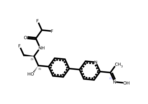 C/C(=N\O)c1ccc(-c2ccc([C@H](O)[C@@H](CF)NC(=O)C(F)F)cc2)cn1